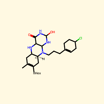 CCCCCCC1=C(C)CC2NC3C(=O)NC(O)NC3N(CCCC3=CCC(Cl)CC3)[C@H]2C1